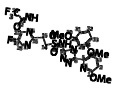 COc1cccc(-c2nnc(NS(=O)(=O)CCc3ncc(F)c(OC(=N)C(F)(F)F)n3)n2-c2c(OC)cccc2OC)n1